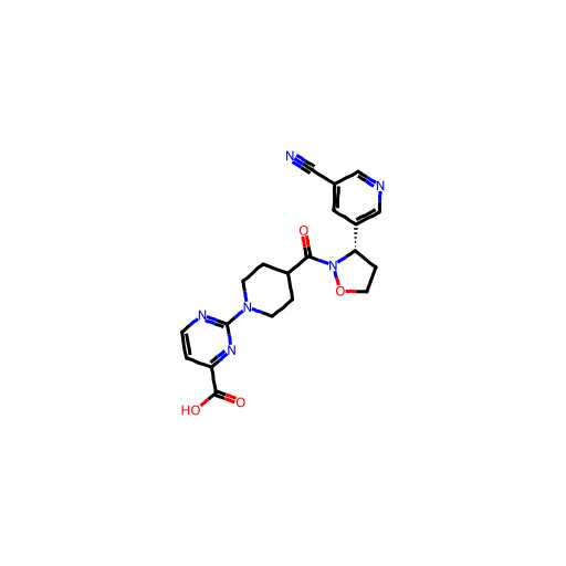 N#Cc1cncc([C@@H]2CCON2C(=O)C2CCN(c3nccc(C(=O)O)n3)CC2)c1